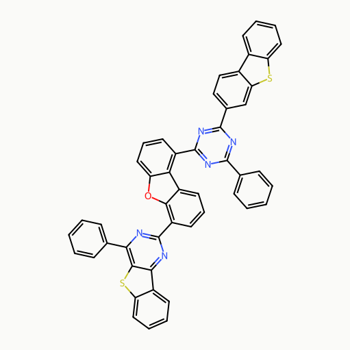 c1ccc(-c2nc(-c3ccc4c(c3)sc3ccccc34)nc(-c3cccc4oc5c(-c6nc(-c7ccccc7)c7sc8ccccc8c7n6)cccc5c34)n2)cc1